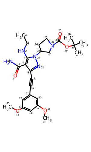 CCNc1c(C(N)=O)c(C#Cc2cc(OC)cc(OC)c2)nn1C1CCN(C(=O)OC(C)(C)C)C1